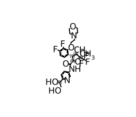 C[C@H]1[C@@H](c2ccc(F)c(F)c2OCCN2CCOCC2)[C@H](C(=O)Nc2ccc([C@@H](O)CO)nc2)O[C@@]1(C)C(F)(F)F